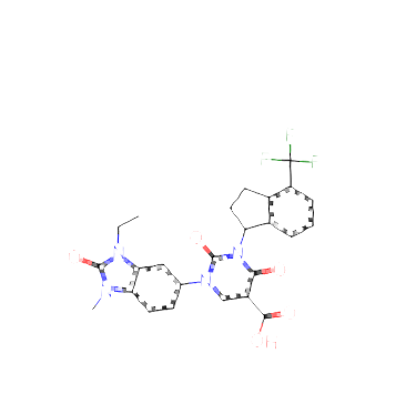 CCn1c(=O)n(C)c2ccc(-n3cc(C(=O)O)c(=O)n(C4CCc5c4cccc5C(F)(F)F)c3=O)cc21